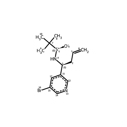 C=CC[C@H](N[S@+]([O-])C(C)(C)C)c1cncc(Br)c1